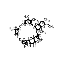 C=C1C[C@@H]2CC[C@@]34C[C@H]5O[C@H]6[C@@H](O3)[C@H]3O[C@H](CC[C@@H]3O[C@H]6C5O4)CC(=O)O[C@@H]3[C@@H](C)[C@@H]4O[C@H](CC)[C@H](C)C[C@@H]4O[C@H]3C[C@H]3O[C@@H](CC[C@@H]1O2)C[C@@H](C)C3=C